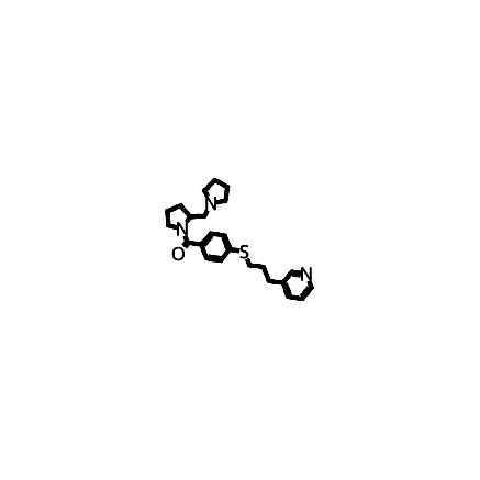 O=C(c1ccc(SCCCc2cccnc2)cc1)N1CCCC1CN1CCCC1